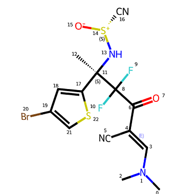 CN(C)/C=C(\C#N)C(=O)C(F)(F)[C@](C)(N[S@+]([O-])C#N)c1cc(Br)cs1